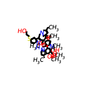 CCC1=C[C@H]2CN(C1)Cc1c([nH]c3ccc(SCCCO)cc13)[C@@](C(=O)OC)(C1C=C3C(=CC1OC)N(C)[C@H]1[C@@](O)(C(=O)OC)[C@H](OC(C)=O)C4[C@@H](CC)CCN5CC[C@]31[C@H]45)C2